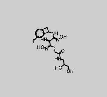 N=C(/C(=N/O)NC1Cc2ccc(F)cc21)/C(=N\O)SCC(=O)NCC(O)CO